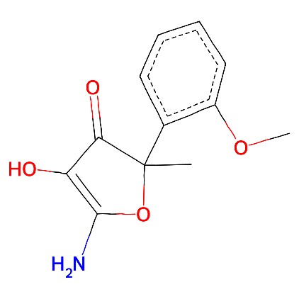 COc1ccccc1C1(C)OC(N)=C(O)C1=O